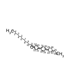 CCCCCCCCCCCCOc1ccc(-c2ccc(C3CCC(CCC)CC3)cc2)cc1